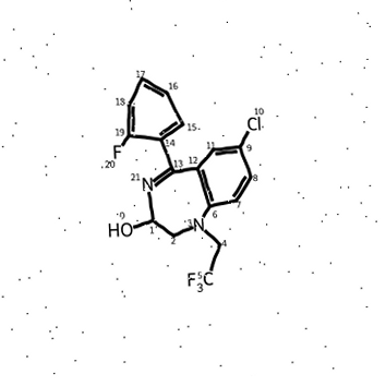 OC1CN(CC(F)(F)F)c2ccc(Cl)cc2C(c2ccccc2F)=N1